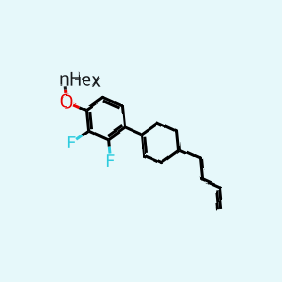 C=CCCC1CC=C(c2ccc(OCCCCCC)c(F)c2F)CC1